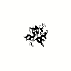 [2H]c1c([C@@H](Nc2cc(C#N)c3ncc(C#N)c(NCC(C)(C)C)c3c2)c2ccc(F)nc2C)nnn1C1(C(F)(F)F)CC1